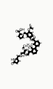 COc1nc(-c2cccc(-c3cccc(-c4nc5cc(CN6CCC[C@H]6C(=O)O)c(OC(F)F)cc5o4)c3C)c2Cl)cnc1CNCC1CCC(=O)N1